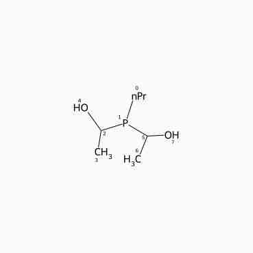 CCCP(C(C)O)C(C)O